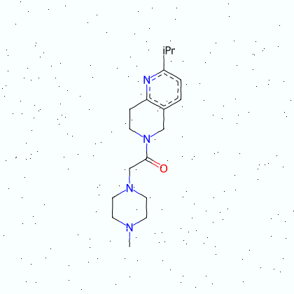 CC(C)c1ccc2c(n1)CCN(C(=O)CN1CCN(C)CC1)C2